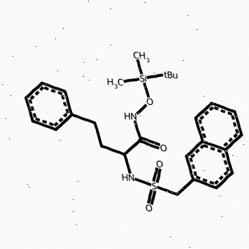 CC(C)(C)[Si](C)(C)ONC(=O)C(CCc1ccccc1)NS(=O)(=O)Cc1ccc2ccccc2c1